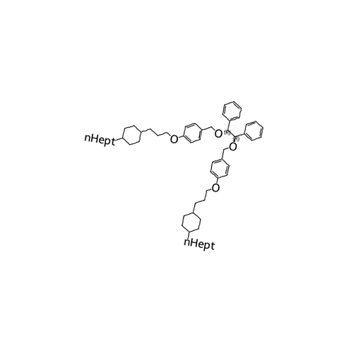 CCCCCCCC1CCC(CCCOc2ccc(CO[C@H](c3ccccc3)[C@H](OCc3ccc(OCCCC4CCC(CCCCCCC)CC4)cc3)c3ccccc3)cc2)CC1